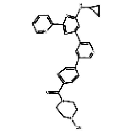 CC(C)(C)N1CCN(C(=O)c2ccc(-c3cncc(-c4cc(NC5CC5)nc(-c5ccccn5)c4)c3)cc2)CC1